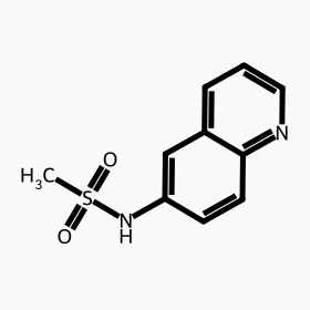 CS(=O)(=O)Nc1ccc2ncccc2c1